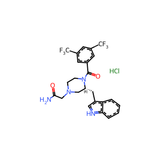 Cl.NC(=O)CN1CCN(C(=O)c2cc(C(F)(F)F)cc(C(F)(F)F)c2)[C@H](Cc2c[nH]c3ccccc23)C1